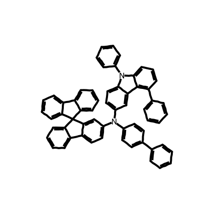 c1ccc(-c2ccc(N(c3ccc4c(c3)C3(c5ccccc5-c5ccccc53)c3ccccc3-4)c3ccc4c(c3)c3c(-c5ccccc5)cccc3n4-c3ccccc3)cc2)cc1